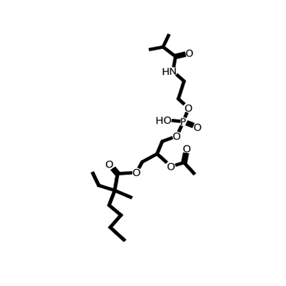 CCCCC(C)(CC)C(=O)OCC(COP(=O)(O)OCCNC(=O)C(C)C)OC(C)=O